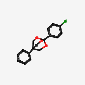 Clc1ccc(C23OCC(c4ccccc4)(CO2)CO3)cc1